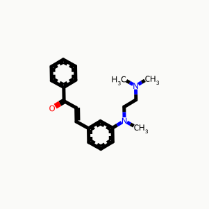 CN(C)CCN(C)c1cccc(C=CC(=O)c2ccccc2)c1